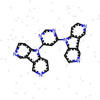 c1cc2c(cn1)c1cnccc1n2-c1cc(-n2c3ccncc3c3cnccc32)ncn1